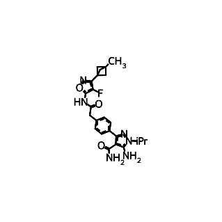 CC(C)n1nc(-c2ccc(CC(=O)Nc3onc(C45CC(C)(C4)C5)c3F)cc2)c(C(N)=O)c1N